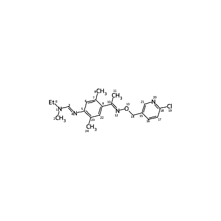 CCN(C)C=Nc1cc(C)c(/C(C)=N/OCc2ccc(Cl)nc2)cc1C